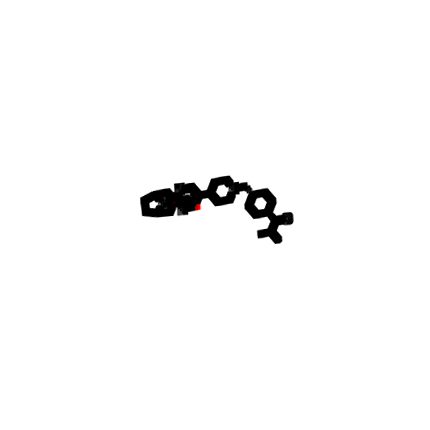 CCN1CC2CCC(C1)N2c1ncc(C2CCN(C[C@H]3CC[C@H](C(=O)C(C)C)CC3)CC2)cn1